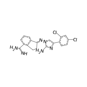 N=C(N)c1cccc2c1CC/C2=N\n1cc(-c2ccc(Cl)cc2Cl)nc1N